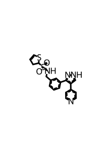 O=S(=O)(NCc1cccc(-c2n[nH]cc2-c2ccncc2)c1)C1CC=CS1